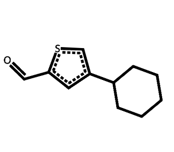 O=Cc1cc(C2CCCCC2)cs1